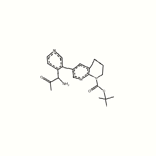 CC(=O)C(N)c1ccncc1-c1cnc2c(c1)CCCN2C(=O)OC(C)(C)C